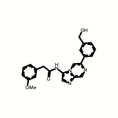 COc1cccc(CC(=O)Nc2cnc3cnc(-c4cccc(CO)c4)cn23)c1